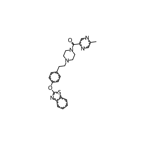 Cc1cnc(C(=O)N2CCN(CCc3ccc(Oc4nc5ccccc5s4)cc3)CC2)cn1